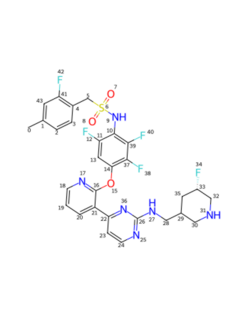 Cc1ccc(CS(=O)(=O)Nc2c(F)cc(Oc3ncccc3-c3ccnc(NCC4CNC[C@@H](F)C4)n3)c(F)c2F)c(F)c1